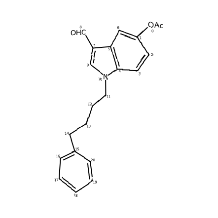 CC(=O)Oc1ccc2c(c1)c(C=O)cn2CCCCc1ccccc1